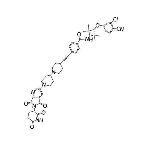 CC1(C)[C@H](NC(=O)c2ccc(C#CC3CCN(C4CCN(c5cnc6c(c5)C(=O)N(C5CCC(=O)NC5=O)C6=O)CC4)CC3)cc2)C(C)(C)[C@H]1Oc1ccc(C#N)c(Cl)c1